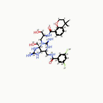 CC1(C)CCOc2c(C(=O)NC(CO)CN3C(=N)NC(CNC(=O)c4cc(F)cc(F)c4)C4NC(=N)N[C@@]43CO)cccc21